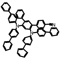 N#Cc1ccc(-c2cc(-c3ccccc3)c(N(c3ccc(-c4ccccc4)cc3)c3ccc(-c4ccccc4)cc3)cc2N(c2ccc(-c3ccccc3)cc2)c2ccc(-c3ccccc3)cc2)cc1